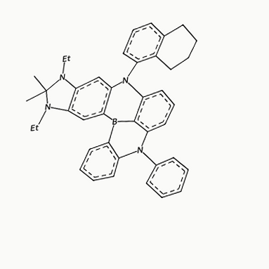 CCN1c2cc3c(cc2N(CC)C1(C)C)N(c1cccc2c1CCCC2)c1cccc2c1B3c1ccccc1N2c1ccccc1